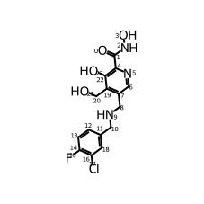 O=C(NO)c1ncc(CNCc2ccc(F)c(Cl)c2)c(CO)c1O